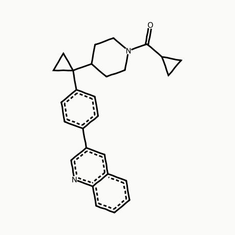 O=C(C1CC1)N1CCC(C2(c3ccc(-c4cnc5ccccc5c4)cc3)CC2)CC1